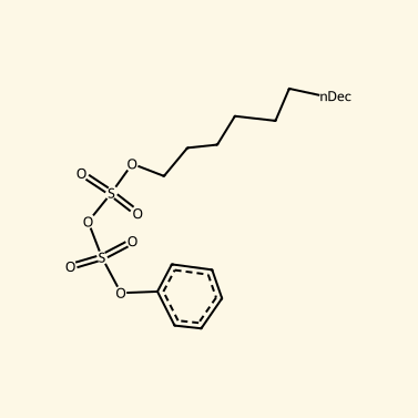 CCCCCCCCCCCCCCCCOS(=O)(=O)OS(=O)(=O)Oc1ccccc1